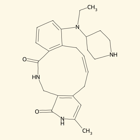 CCN(c1cccc2c1CC=CCc1cc(C)[nH]c(=O)c1CNC2=O)C1CCNCC1